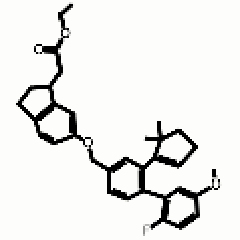 CCOC(=O)CC1CCc2ccc(OCc3ccc(-c4cc(OC)ccc4F)c(C4=CCCC4(C)C)c3)cc21